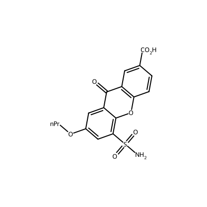 CCCOc1cc(S(N)(=O)=O)c2oc3ccc(C(=O)O)cc3c(=O)c2c1